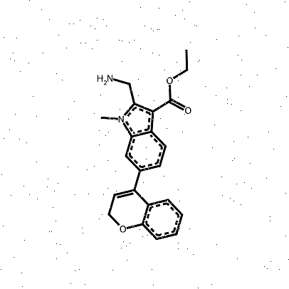 CCOC(=O)c1c(CN)n(C)c2cc(C3=CCOc4ccccc43)ccc12